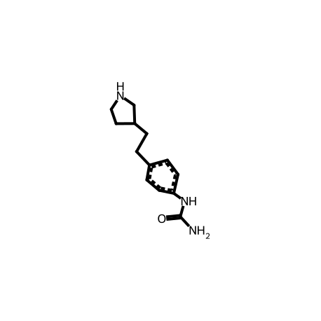 NC(=O)Nc1ccc(CCC2CCNC2)cc1